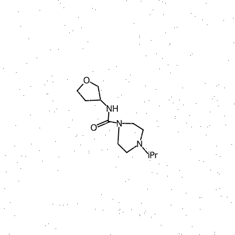 CC(C)N1CCN(C(=O)NC2CCOC2)CC1